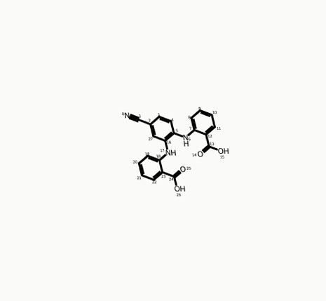 N#Cc1ccc(Nc2ccccc2C(=O)O)c(Nc2ccccc2C(=O)O)c1